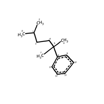 CC(C)CCC(C)(C)c1ccccc1